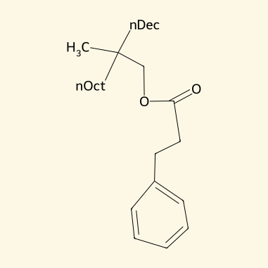 CCCCCCCCCCC(C)(CCCCCCCC)COC(=O)CCc1ccccc1